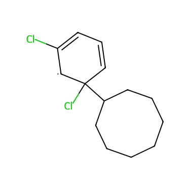 ClC1=CC=CC(Cl)(C2CCCCCCC2)[CH]1